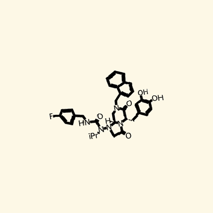 CC(C)N(C(=O)NCc1ccc(F)cc1)N1CC(=O)N2[C@@H](Cc3ccc(O)c(O)c3)C(=O)N(Cc3cccc4ccccc34)C[C@@H]21